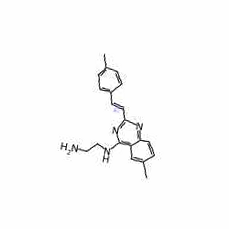 Cc1ccc(/C=C/c2nc(NCCN)c3cc(C)ccc3n2)cc1